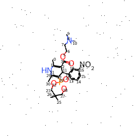 CC1=C(C(=O)OCCN(C)C)C(c2cccc([N+](=O)[O-])c2)C(P2(=O)OCC(C)(C)CO2)=C(C)N1